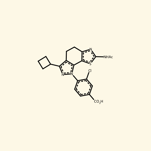 CC(=O)Nc1nc2c(s1)-c1c(c(C3CCC3)nn1-c1ccc(C(=O)O)cc1Cl)CC2